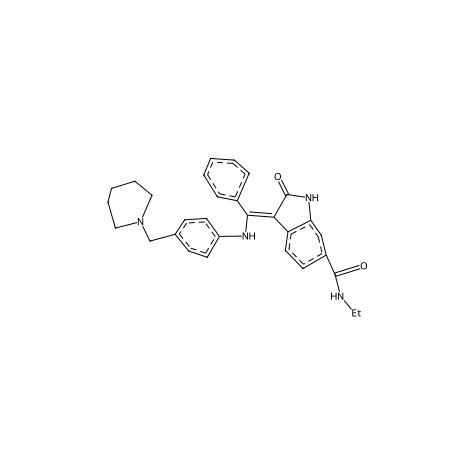 CCNC(=O)c1ccc2c(c1)NC(=O)C2=C(Nc1ccc(CN2CCCCC2)cc1)c1ccccc1